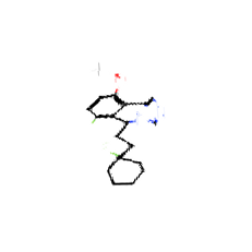 COc1ccc(F)c2c1-c1cncn1C2CCC1(F)CCCCC1